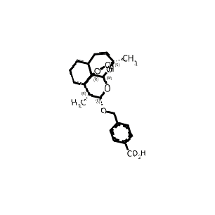 C[C@@H]1C2CCCC3CC[C@]4(C)OO[C@]32[C@H](O[C@@H]1OCc1ccc(C(=O)O)cc1)O4